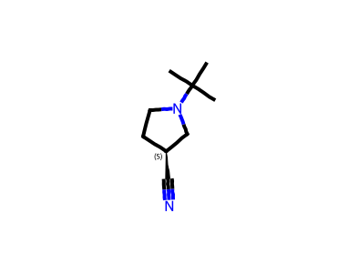 CC(C)(C)N1CC[C@H](C#N)C1